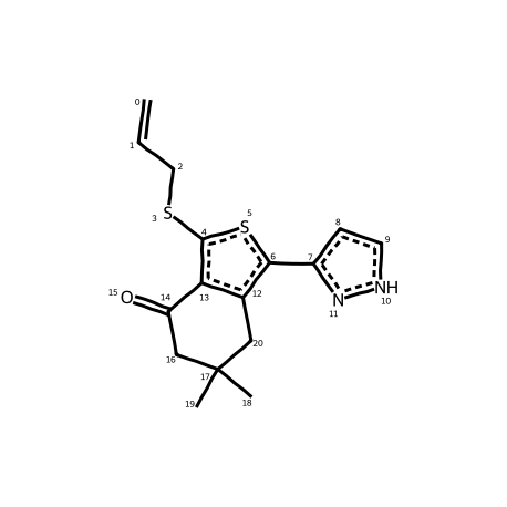 C=CCSc1sc(-c2cc[nH]n2)c2c1C(=O)CC(C)(C)C2